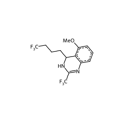 COc1cccc2c1C(CCCC(F)(F)F)NC(C(F)(F)F)=N2